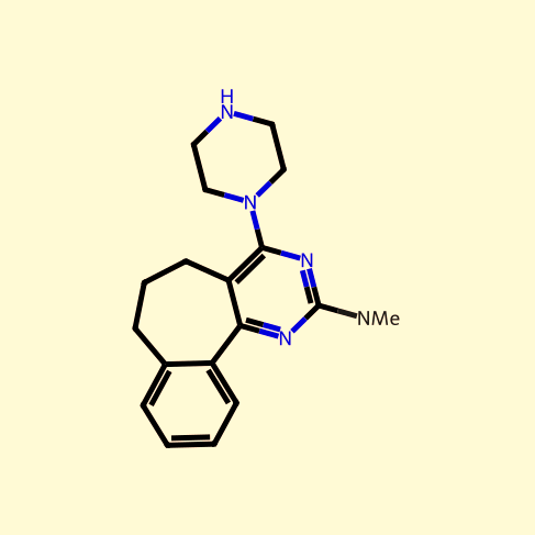 CNc1nc2c(c(N3CCNCC3)n1)CCCc1ccccc1-2